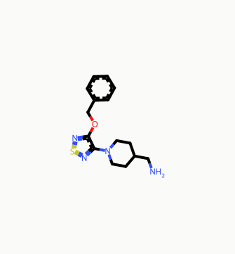 NCC1CCN(c2nsnc2OCc2ccccc2)CC1